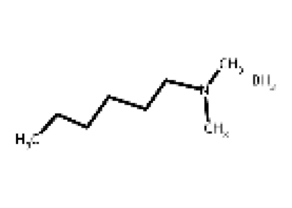 B.CCCCCCN(C)C